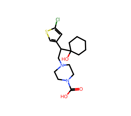 O=C(O)N1CCN(CC(c2csc(Cl)c2)C2(O)CCCCC2)CC1